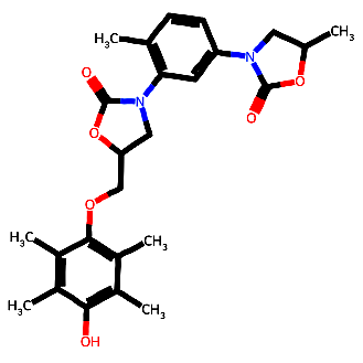 Cc1ccc(N2CC(C)OC2=O)cc1N1CC(COc2c(C)c(C)c(O)c(C)c2C)OC1=O